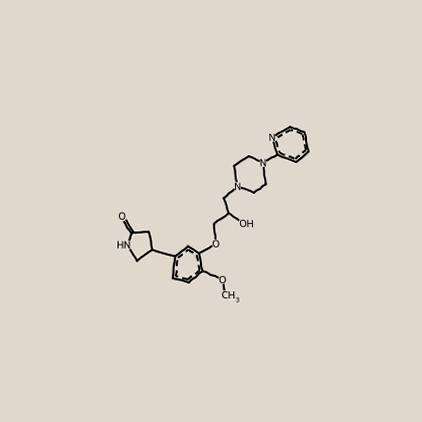 COc1ccc(C2CNC(=O)C2)cc1OCC(O)CN1CCN(c2ccccn2)CC1